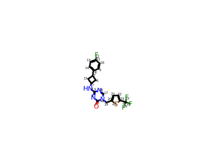 O=c1nc(NC2CC(c3ccc(F)cc3)C2)ncn1Cc1ccc(C(F)(F)F)s1